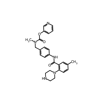 Cc1ccc(N2CCNCC2)c(C(=O)Nc2ccc(CN(C)C(=O)Oc3cccnc3)cc2)c1